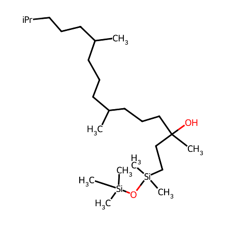 CC(C)CCCC(C)CCCC(C)CCCC(C)(O)CC[Si](C)(C)O[Si](C)(C)C